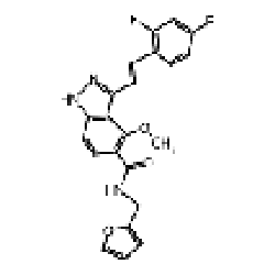 COc1c(C(=O)NCc2ccco2)ccc2[nH]nc(/C=C/c3ccc(F)cc3F)c12